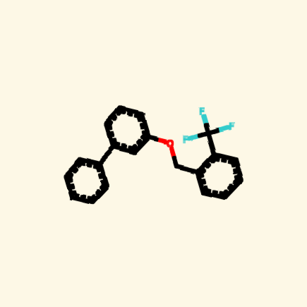 FC(F)(F)c1ccccc1COc1[c]ccc(-c2ccccc2)c1